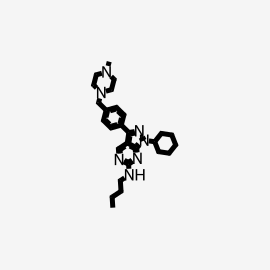 CCCCNc1ncc2c(-c3ccc(CN4CCN(C)CC4)cc3)nn(C3CCCCC3)c2n1